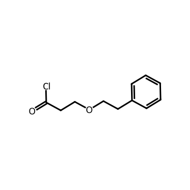 O=C(Cl)CCOCCc1ccccc1